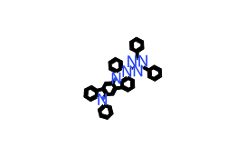 c1ccc(-c2nc(-c3ccccc3)nc(N3c4ccccc4-n4c5cc6c7ccccc7n(-c7ccccc7)c6cc5c5cccc3c54)n2)cc1